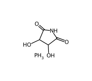 O=C1NC(=O)C(O)C1O.P